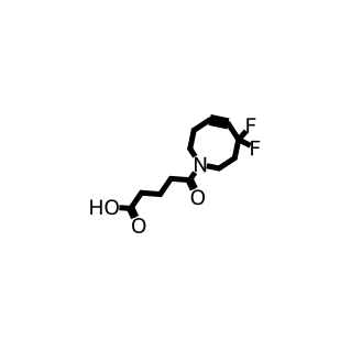 O=C(O)CCCC(=O)N1CCC#CC(F)(F)CC1